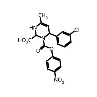 CC1=CC(c2cccc(Cl)c2)N(C(=O)Oc2ccc([N+](=O)[O-])cc2)C(C(=O)O)N1